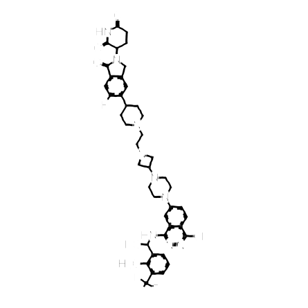 Cc1c(C(C)Nc2nnc(C)c3ccc(N4CCN(C5CN(CCN6CCC(c7cc8c(cc7F)C(=O)N(C7CCC(=O)NC7=O)C8)CC6)C5)CC4)cc23)cccc1C(F)(F)F